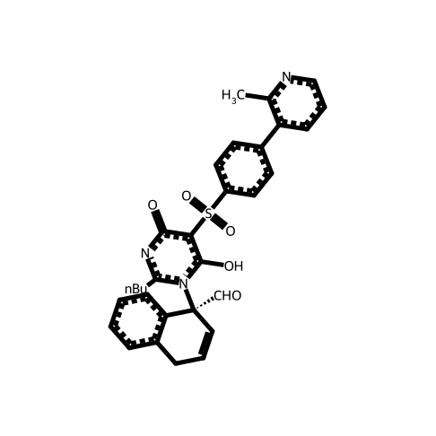 CCCCc1nc(=O)c(S(=O)(=O)c2ccc(-c3cccnc3C)cc2)c(O)n1[C@@]1(C=O)C=CCc2ccccc21